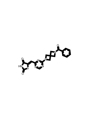 O=C1NC(=O)/C(=C/c2ncnc(N3CC4(CN(C(=O)c5ccccc5)C4)C3)n2)S1